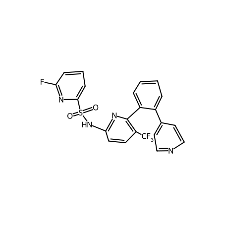 O=S(=O)(Nc1ccc(C(F)(F)F)c(-c2ccccc2-c2ccncc2)n1)c1cccc(F)n1